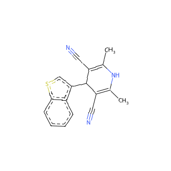 CC1=C(C#N)C(c2csc3ccccc23)C(C#N)=C(C)N1